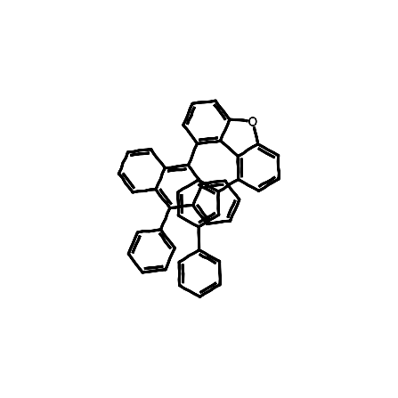 c1ccc(-c2cccc(-c3cccc4oc5cccc(-c6c7ccccc7c(-c7ccccc7)c7ccccc67)c5c34)c2)cc1